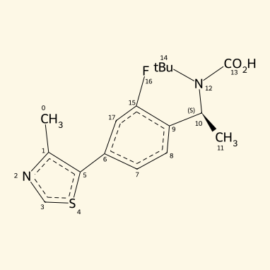 Cc1ncsc1-c1ccc([C@H](C)N(C(=O)O)C(C)(C)C)c(F)c1